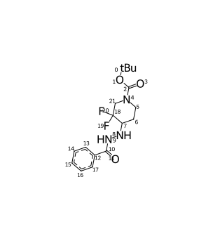 CC(C)(C)OC(=O)N1CCC(NNC(=O)c2ccccc2)C(F)(F)C1